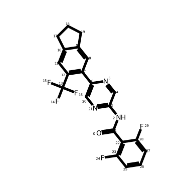 O=C(Nc1cnc(-c2cc3c(cc2C(F)(F)F)CCC3)cn1)c1c(F)cccc1F